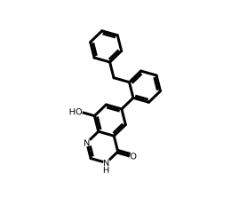 O=c1[nH]cnc2c(O)cc(-c3ccccc3Cc3ccccc3)cc12